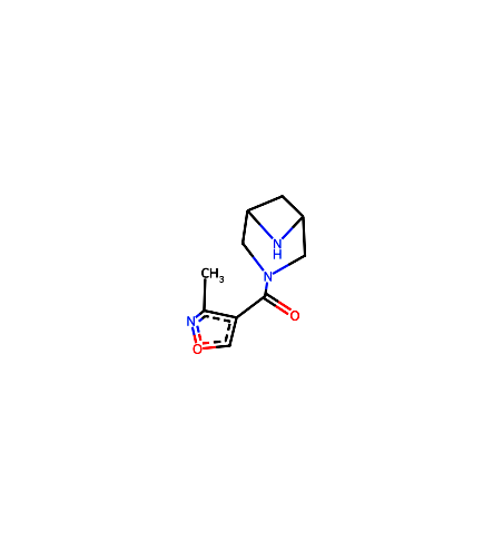 Cc1nocc1C(=O)N1CC2CC(C1)N2